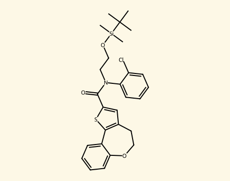 CC(C)(C)[Si](C)(C)OCCN(C(=O)c1cc2c(s1)-c1ccccc1OCC2)c1ccccc1Cl